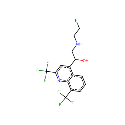 OC(CNCCF)c1cc(C(F)(F)F)nc2c(C(F)(F)F)cccc12